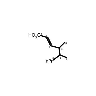 CCCC(C)C(C)C=CC(=O)O